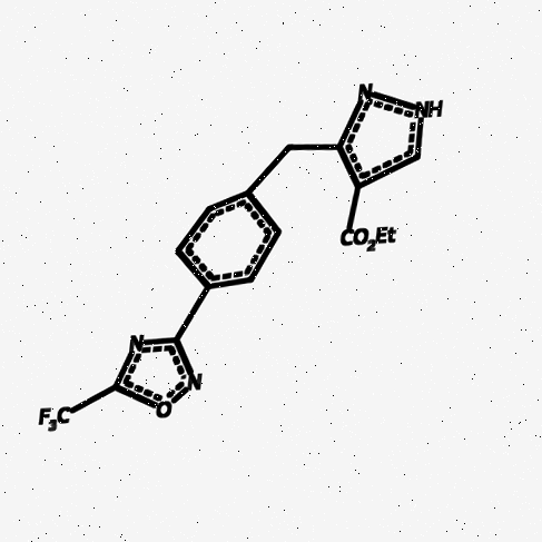 CCOC(=O)c1c[nH]nc1Cc1ccc(-c2noc(C(F)(F)F)n2)cc1